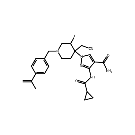 C=C(C)c1ccc(CN2CCC(CC#N)(n3cc(C(N)=O)c(NC(=O)C4CC4)n3)C(F)C2)cc1